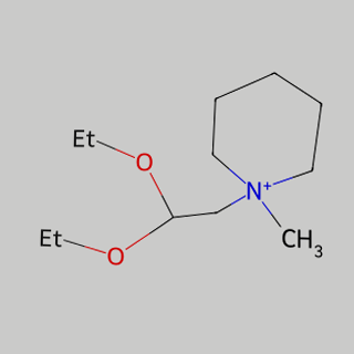 CCOC(C[N+]1(C)CCCCC1)OCC